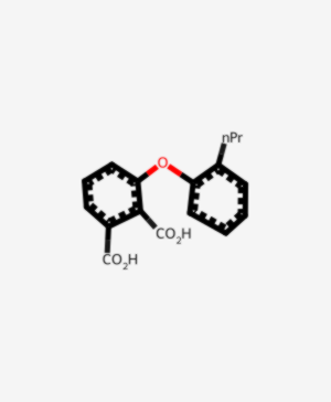 CCCc1ccccc1Oc1cccc(C(=O)O)c1C(=O)O